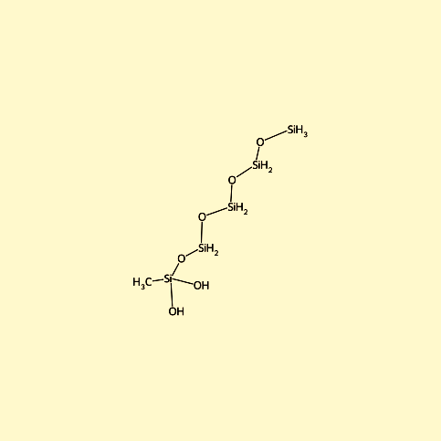 C[Si](O)(O)O[SiH2]O[SiH2]O[SiH2]O[SiH3]